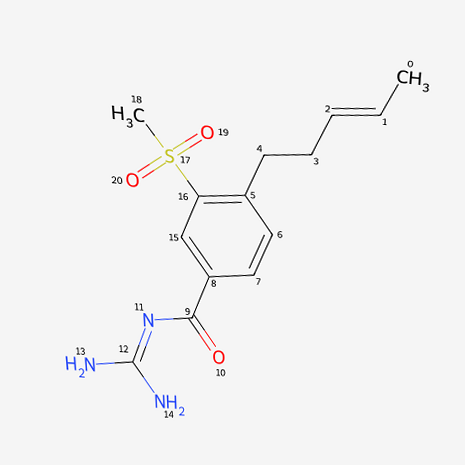 C/C=C/CCc1ccc(C(=O)N=C(N)N)cc1S(C)(=O)=O